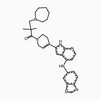 CC(C)(CN1CCCCCC1)C(=O)N1CC=C(c2cc3c(Nc4ccc5ncsc5c4)ccnc3[nH]2)CC1